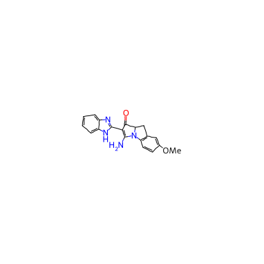 COc1ccc2c(c1)CC1C(=O)C(c3nc4ccccc4[nH]3)=C(N)N21